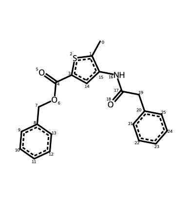 Cc1sc(C(=O)OCc2ccccc2)cc1NC(=O)Cc1ccccc1